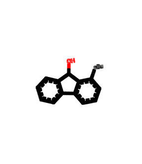 CCCCc1cccc2c1C(O)c1ccccc1-2